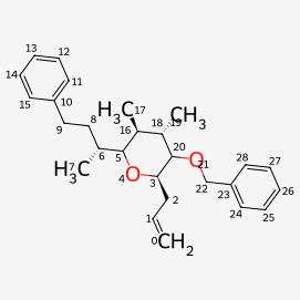 C=CC[C@H]1OC([C@H](C)CCc2ccccc2)[C@@H](C)[C@H](C)C1OCc1ccccc1